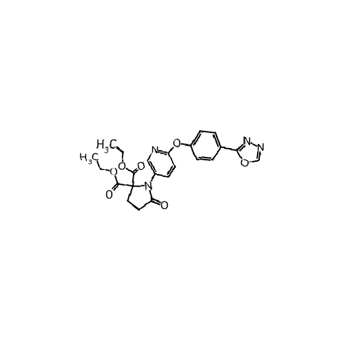 CCOC(=O)C1(C(=O)OCC)CCC(=O)N1c1ccc(Oc2ccc(-c3nnco3)cc2)nc1